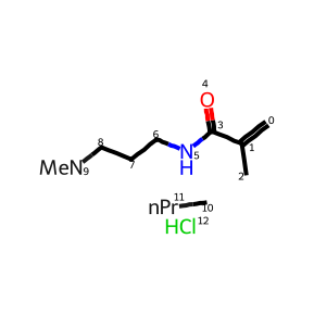 C=C(C)C(=O)NCCCNC.CCCC.Cl